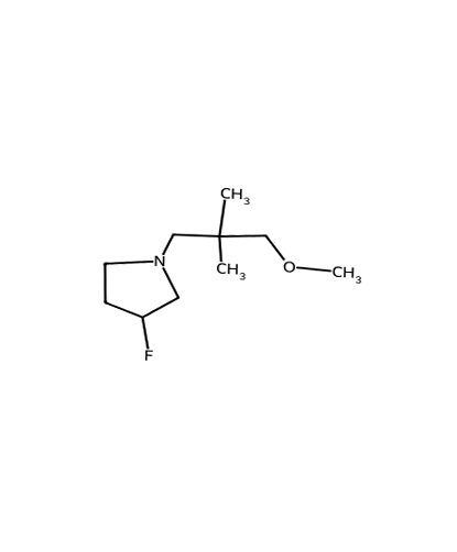 COCC(C)(C)CN1CCC(F)C1